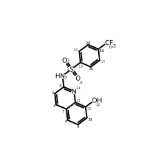 O=S(=O)(Nc1ccc2cccc(O)c2n1)c1ccc(C(F)(F)F)cc1